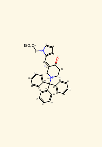 CCOC(=O)Cn1cccc1/C=C1/CN(C(c2ccccc2)(c2ccccc2)c2ccccc2)CCC1=O